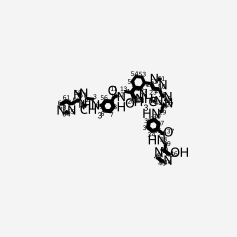 Cn1c(CNc2cccc(C(=O)NCc3c4c(n[nH]c3=O)C(c3cc(-c5nnc(CNc6cccc(C(=O)NCc7nccnc7O)c6)n5C)ncn3)CCC4)c2)nnc1-c1ccncn1